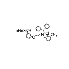 CCCCCCNc1cccc(OCCCN(Cc2cccc(C(F)(F)F)c2Cl)CC(c2ccccc2)c2ccccc2)c1